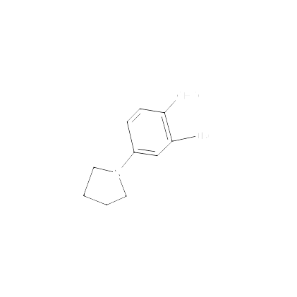 CC(C)(C)c1cc(N2CCCC2)ccc1C=O